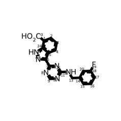 O=C(O)c1cccc2c(-c3ncnc(NCc4cccc(F)c4)n3)n[nH]c12